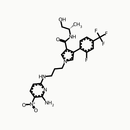 C[C@@H](CO)NC(=O)c1cn(CCCNc2ccc([N+](=O)[O-])c(N)n2)cc1-c1ccc(C(F)(F)F)cc1F